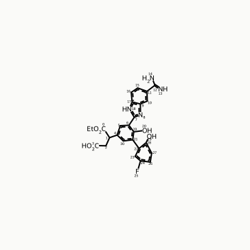 CCOC(=O)C(CC(=O)O)c1cc(-c2nc3cc(C(=N)N)ccc3[nH]2)c(O)c(-c2cc(F)ccc2O)c1